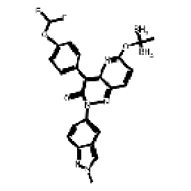 BC(B)(C)Oc1ccc2nn(-c3ccc4nn(C)cc4c3)c(=O)c(-c3ccc(OC(F)F)cc3)c2n1